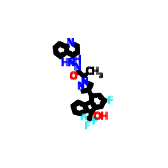 CC(C(=O)NNc1ccnc2ccccc12)n1cc(-c2cc(F)cc3c2-c2ccccc2C3(O)C(F)(F)F)cn1